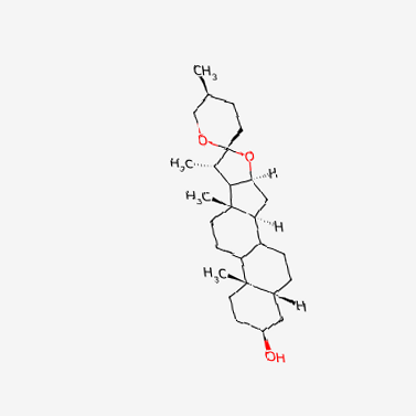 C[C@H]1CC[C@@]2(OC1)O[C@H]1C[C@H]3C4CC[C@@H]5C[C@@H](O)CC[C@]5(C)C4CC[C@]3(C)C1[C@@H]2C